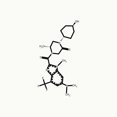 C[C@@H]1CN([C@H]2CC[C@H](O)CC2)C(=O)CN1C(=O)c1nc2c(C(F)(F)F)cc(N(C)C)cc2n1C